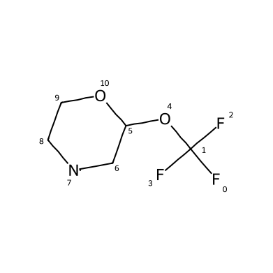 FC(F)(F)OC1C[N]CCO1